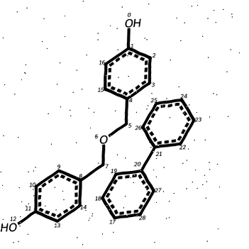 Oc1ccc(COCc2ccc(O)cc2)cc1.c1ccc(-c2ccccc2)cc1